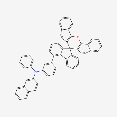 c1ccc(N(c2cccc(-c3cccc4c3-c3ccccc3C43c4ccc5ccccc5c4Oc4c3ccc3ccccc43)c2)c2ccc3ccccc3c2)cc1